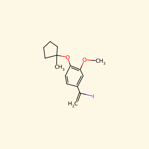 C=C(I)c1ccc(OC2(C)CCCC2)c(OC)c1